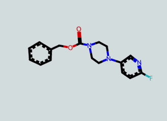 O=C(OCc1ccccc1)N1CCN(c2ccc(F)nc2)CC1